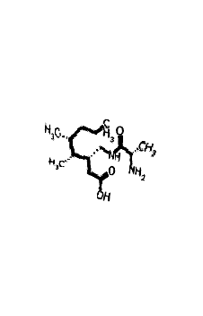 CCC[C@@H](C)[C@@H](C)[C@H](CNC(=O)[C@H](C)N)CC(=O)O